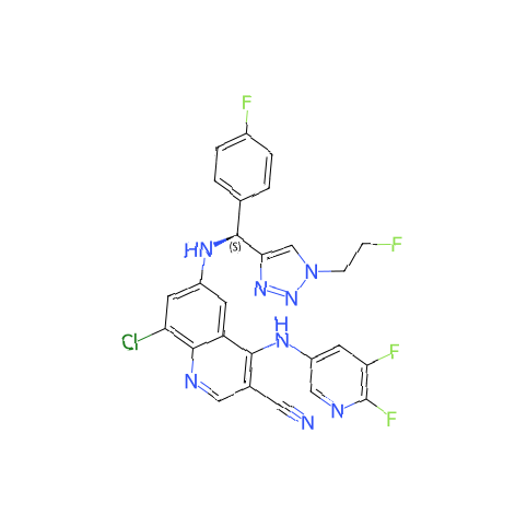 N#Cc1cnc2c(Cl)cc(N[C@@H](c3ccc(F)cc3)c3cn(CCF)nn3)cc2c1Nc1cnc(F)c(F)c1